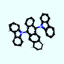 c1ccc2c(-n3c4ccccc4c4ccccc43)c3cc4c(cc3c(-n3c5ccccc5c5ccccc53)c2c1)CCCC4